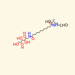 O=[C]CC[C@H](NC(=O)CCCCCCCCCCC(=O)NC[C@H](O)[C@@H](O)[C@@H](O)[C@H](O)CO)C(=O)O